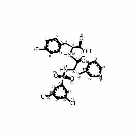 O=C(O)[C@H](Cc1ccc(F)cc1)NC(=O)[C@H](Cc1cccnc1)NS(=O)(=O)c1cc(Cl)cc(Cl)c1